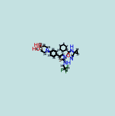 N#CC1(NC(=O)[C@@H]2CCCC[C@H]2c2nc(NCC(F)(F)F)sc2-c2ccc(N3CCS(O)(O)CC3)cc2)CC1